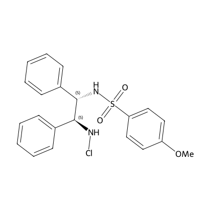 COc1ccc(S(=O)(=O)N[C@@H](c2ccccc2)[C@@H](NCl)c2ccccc2)cc1